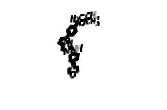 CC(C)(C)OC(=O)c1ccc(-c2ccc3cnc(Nc4ccc(N5CCOCC5)cc4)nn23)cc1